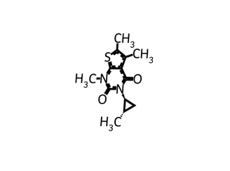 Cc1sc2c(c1C)c(=O)n([C@H]1C[C@@H]1C)c(=O)n2C